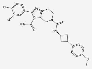 COc1ccc([C@H]2C[C@H](NC(=O)N3CCn4nc(-c5ccc(Cl)c(Cl)c5)c(C(N)=O)c4C3)C2)cc1